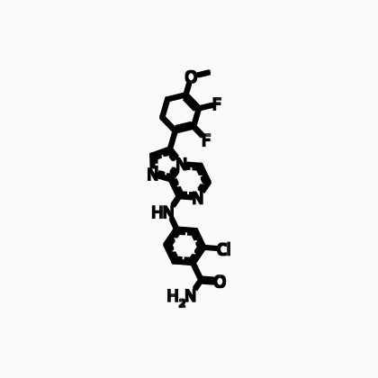 COC1=C(F)C(F)=C(c2cnc3c(Nc4ccc(C(N)=O)c(Cl)c4)nccn23)CC1